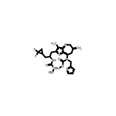 C=C1CN=c2c(C)c(CC(CC3CC3(F)F)NC(=O)OC(C)(C)C)sc2=C(N(Cc2cccs2)C(=O)OC(C)(C)C)C1